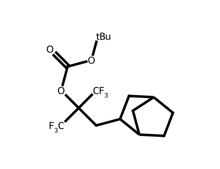 CC(C)(C)OC(=O)OC(CC1CC2CCC1C2)(C(F)(F)F)C(F)(F)F